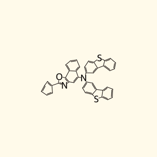 c1ccc(-c2nc3cc(N(c4ccc5sc6ccccc6c5c4)c4ccc5sc6ccccc6c5c4)c4ccccc4c3o2)cc1